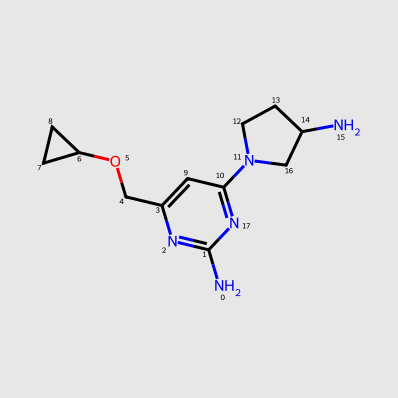 Nc1nc(COC2CC2)cc(N2CCC(N)C2)n1